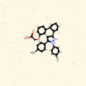 Cc1ccc(-c2cc(-c3ccccc3-c3cccc(OCC(=O)O)c3)nn2-c2ccc(Cl)cc2)cc1